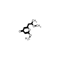 COc1cc(=O)cc(CC(C)OC)o1